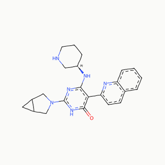 O=c1[nH]c(N2CC3CC3C2)nc(N[C@@H]2CCCNC2)c1-c1ccc2ccccc2n1